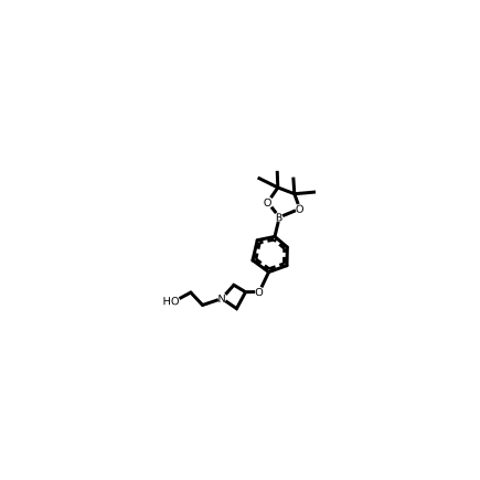 CC1(C)OB(c2ccc(OC3CN(CCO)C3)cc2)OC1(C)C